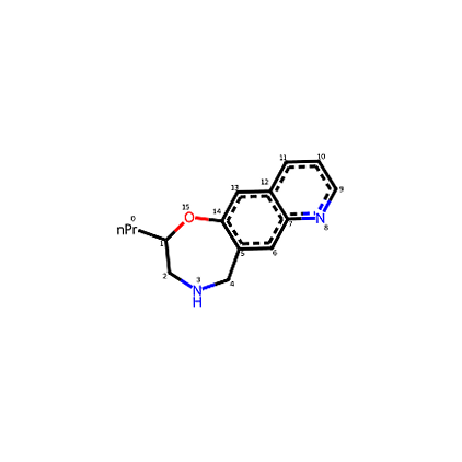 CCCC1CNCc2cc3ncccc3cc2O1